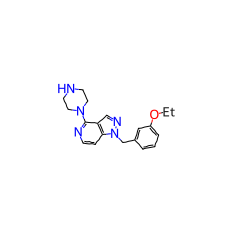 CCOc1cccc(Cn2ncc3c(N4CCNCC4)nccc32)c1